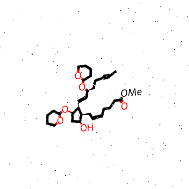 CC#CCC[C@@H](/C=C/[C@@H]1[C@@H](C/C=C\CCCC(=O)OC)[C@@H](O)C[C@H]1OC1CCCCO1)OC1CCCCO1